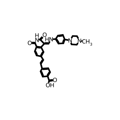 CN1CCN(c2ccc(N/C=C3\C(=O)NC(=O)c4ccc(/C=C/c5ccc(C(=O)O)cc5)cc43)cc2)CC1